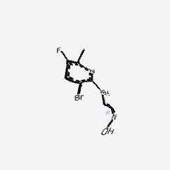 Cc1nc(N/C=N/O)c(Br)cc1F